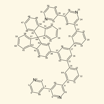 c1cncc(-c2cncc(-c3cccc(-c4cc(-c5cccc(-c6cncc(-c7cccnc7)c6)c5)cc(-c5ccc6c(c5)C5(c7ccccc7-c7ccccc75)c5ccccc5-6)c4)c3)c2)c1